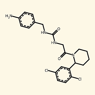 Nc1ccc(CNC(=O)NCC(=O)N2CCCCC2c2cc(Cl)ccc2Cl)cc1